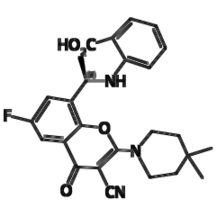 C[C@@H](Nc1ccccc1C(=O)O)c1cc(F)cc2c(=O)c(C#N)c(N3CCC(C)(C)CC3)oc12